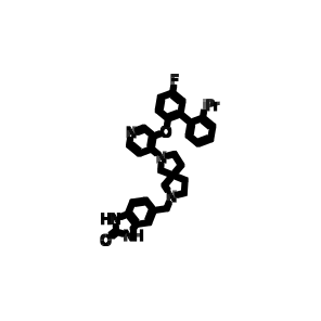 CC(C)c1ccccc1-c1cc(F)ccc1Oc1cnccc1N1CCC2(CCN(Cc3ccc4[nH]c(=O)[nH]c4c3)C2)C1